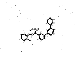 Cc1ccccc1[C@H](CC(=O)O)NC(=O)c1cccc(-c2cccc(-c3ccccc3)c2)n1